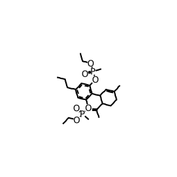 C=C(C)C1CCC(C)=CC1c1c(OP(C)(=O)OCC)cc(CCC)cc1OP(C)(=O)OCC